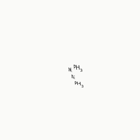 P.P.[N].[N]